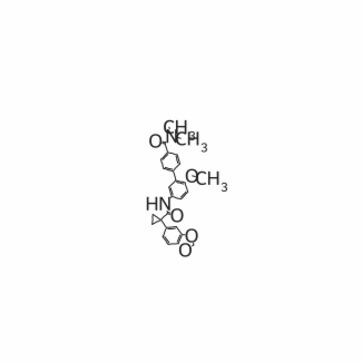 COc1ccc(NC(=O)C2(c3ccc4c(c3)OCO4)CC2)cc1-c1ccc(C(=O)N(C)C)cc1